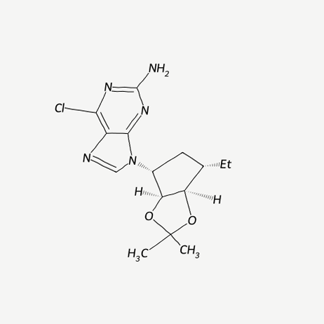 CC[C@H]1C[C@@H](n2cnc3c(Cl)nc(N)nc32)[C@@H]2OC(C)(C)O[C@H]12